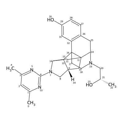 Cc1cc(C)nc(N2C[C@H]3CC45CCC2C3C42CCN(C[C@H](C)O)C5Cc3ccc(O)cc32)n1